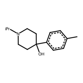 Cc1ccc(C2(O)CCN(C(C)C)CC2)cc1